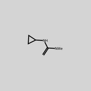 C=C(NC)NC1CC1